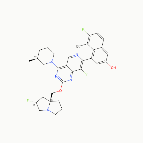 CCc1c(F)ccc2cc(O)cc(-c3ncc4c(N5CCC[C@H](C)C5)nc(OC[C@@]56CCCN5C[C@H](F)C6)nc4c3F)c12